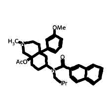 COc1cccc(C23CCN(C)CC2(OC(C)=O)CCC(N(CC(C)C)C(=O)c2ccc4ccccc4c2)C3)c1